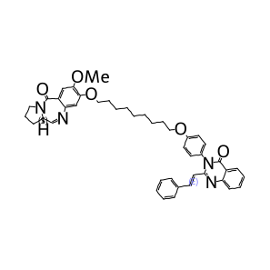 COc1cc2c(cc1OCCCCCCCCCOc1ccc(-n3c(/C=C/c4ccccc4)nc4ccccc4c3=O)cc1)N=C[C@@H]1CCCN1C2=O